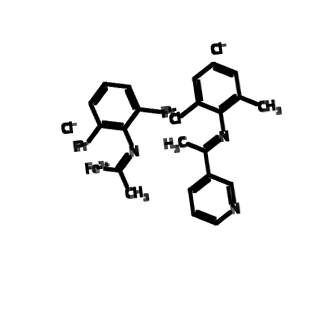 CC(=Nc1c(C)cccc1Cl)c1cccnc1.C[C]([Fe+2])=Nc1c(C(C)C)cccc1C(C)C.[Cl-].[Cl-]